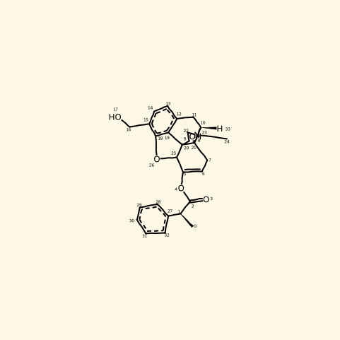 C[C@H](C(=O)OC1=CC[C@@]2(O)[C@H]3Cc4ccc(CO)c5c4C2(CCN3C)C1O5)c1ccccc1